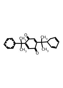 CC(C)(C1=CC(=O)C(C(C)(C)C2C=CC=CC2)=CC1=O)c1ccccc1